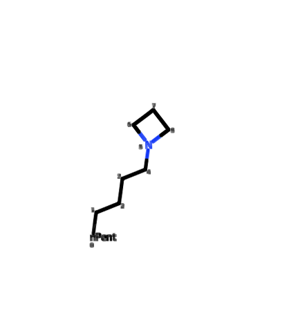 CCCCCCCCCN1CCC1